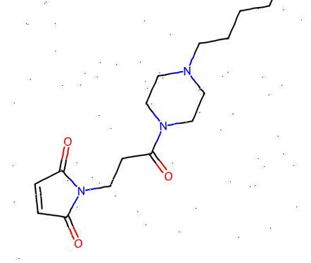 CCCCCN1CCN(C(=O)CCN2C(=O)C=CC2=O)CC1